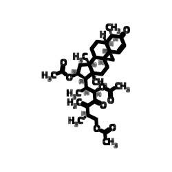 C=C(C(=O)[C@H](OC(C)=O)[C@@H](C)[C@H]1[C@@H](OC(C)=O)C[C@@]2(C)C3CC[C@H]4[C@H](C)C(=O)C=C[C@@]45C[C@@]35CC[C@]12C)[C@@H](C)COC(C)=O